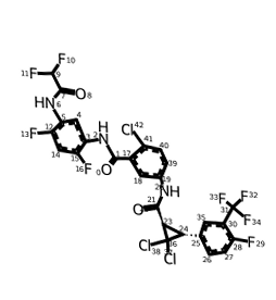 O=C(Nc1cc(NC(=O)C(F)F)c(F)cc1F)c1cc(NC(=O)[C@H]2[C@H](c3ccc(F)c(C(F)(F)F)c3)C2(Cl)Cl)ccc1Cl